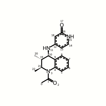 CC(=O)N1c2ccccc2[C@H](Nc2cc[nH]c(=O)c2)[C@@H](C)[C@@H]1C